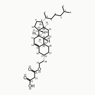 CC(C)CCCC(C)[C@H]1CC[C@H]2[C@@H]3CC=C4C[C@@H](CCOC(=O)CC(=O)O)CC[C@]4(C)[C@H]3CC[C@]12C